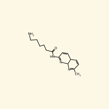 CC1=NC2N=C(NC(=O)CCCCCN)C=CC2C=C1